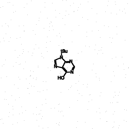 CC(C)(C)n1cnc2c(O)ncnc21